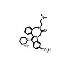 CN(C)CCN1Cc2ccccc2-c2c([C@@H]3CCCC[C@H]3F)c3ccc(C(=O)O)cc3n2CC1=O